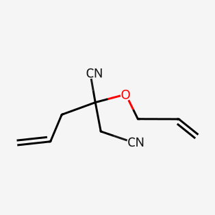 C=CCOC(C#N)(CC#N)CC=C